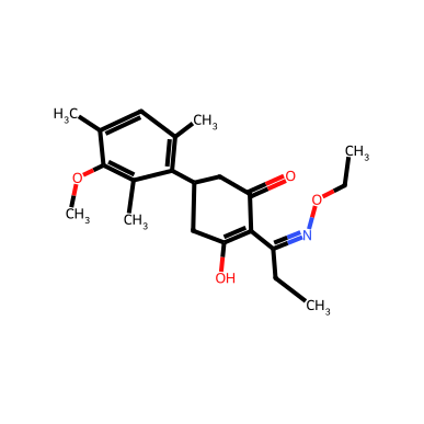 CCO/N=C(/CC)C1=C(O)CC(c2c(C)cc(C)c(OC)c2C)CC1=O